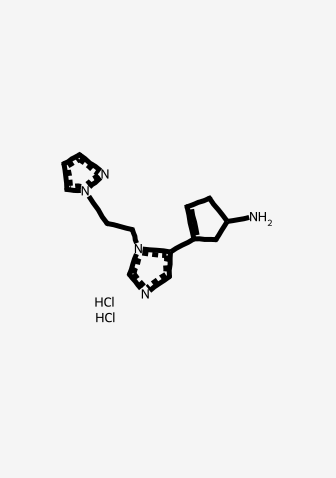 Cl.Cl.NC1CC=C(c2cncn2CCn2cccn2)C1